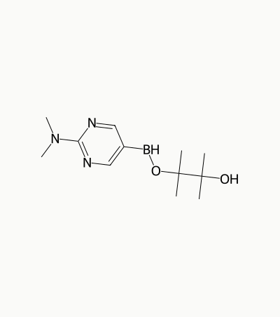 CN(C)c1ncc(BOC(C)(C)C(C)(C)O)cn1